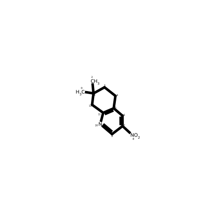 CC1(C)CCc2cc([N+](=O)[O-])cnc2C1